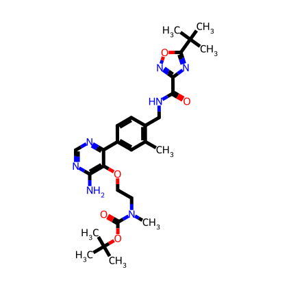 Cc1cc(-c2ncnc(N)c2OCCN(C)C(=O)OC(C)(C)C)ccc1CNC(=O)c1noc(C(C)(C)C)n1